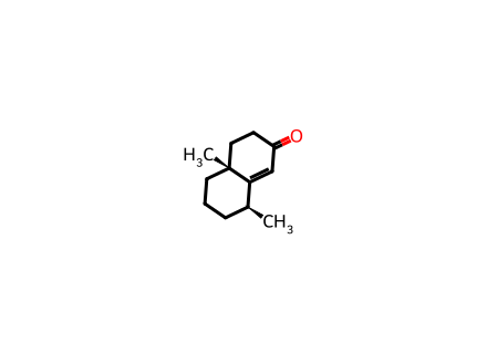 C[C@H]1CCC[C@]2(C)CCC(=O)C=C12